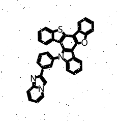 c1cc(-c2cn3ccccc3n2)cc(-n2c3ccccc3c3c4oc5ccccc5c4c4sc5ccccc5c4c32)c1